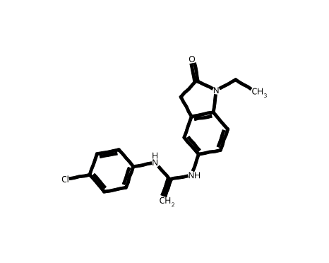 C=C(Nc1ccc(Cl)cc1)Nc1ccc2c(c1)CC(=O)N2CC